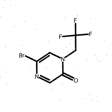 O=c1cnc(Br)cn1CC(F)(F)F